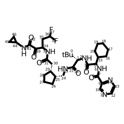 CC(C)(C)[C@H](NC(=O)[C@H](NC(=O)c1cnccn1)C1CCCCC1)C(=O)NC[C@@H]1CCC[C@@H]1CC(=O)NC(CC(F)F)C(=O)C(=O)NC1CC1